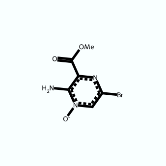 COC(=O)c1nc(Br)c[n+]([O-])c1N